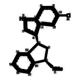 CN[C@@H]1C[C@@H](c2c[nH]c3ccc(Cl)cc23)c2ccccc21